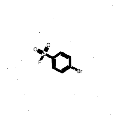 O=S(=O)(F)c1ccc(Br)cc1